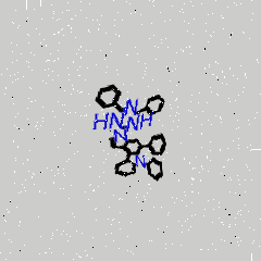 c1ccc(C2=NC(c3ccccc3)NC(n3ccc4c5c6ccccc6n(-c6ccccc6)c5c(-c5ccccc5)cc43)N2)cc1